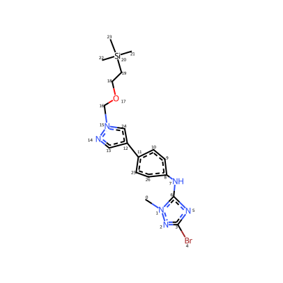 Cn1nc(Br)nc1Nc1ccc(-c2cnn(COCC[Si](C)(C)C)c2)cc1